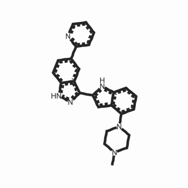 CN1CCN(c2cccc3[nH]c(-c4n[nH]c5ccc(-c6ccccn6)cc45)cc23)CC1